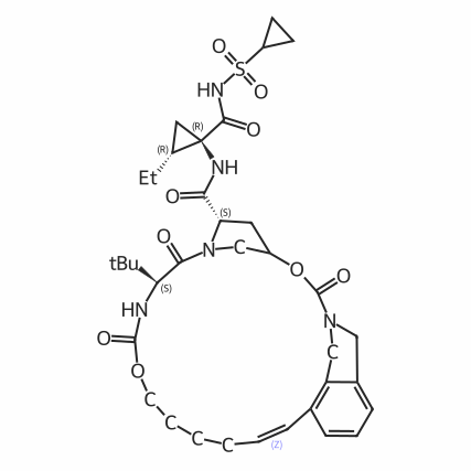 CC[C@@H]1C[C@]1(NC(=O)[C@@H]1CC2CN1C(=O)[C@H](C(C)(C)C)NC(=O)OCCCC/C=C\c1cccc3c1CN(C3)C(=O)O2)C(=O)NS(=O)(=O)C1CC1